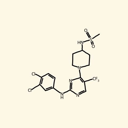 CS(=O)(=O)NC1CCN(c2nc(Nc3ccc(Cl)c(Cl)c3)ncc2C(F)(F)F)CC1